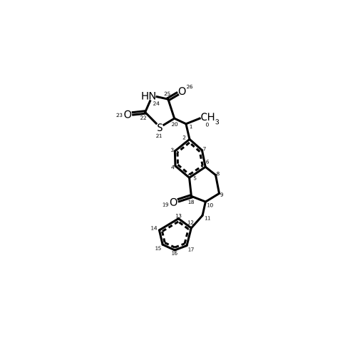 CC(c1ccc2c(c1)CCC(Cc1ccccc1)C2=O)C1SC(=O)NC1=O